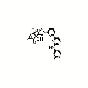 Cc1cc(Nc2nccc(-c3cccc(-n4cc(C5(O)C(=O)N(C)CC5(F)F)nn4)n3)n2)ccn1